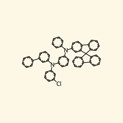 Clc1cccc(N(c2cccc(-c3ccccc3)c2)c2cccc(N(c3ccccc3)c3ccc4c(c3)C3(c5ccccc5-c5ccccc53)c3ccccc3-4)c2)c1